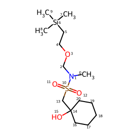 CN(COCC[Si](C)(C)C)S(=O)(=O)CC1(O)CCCCC1